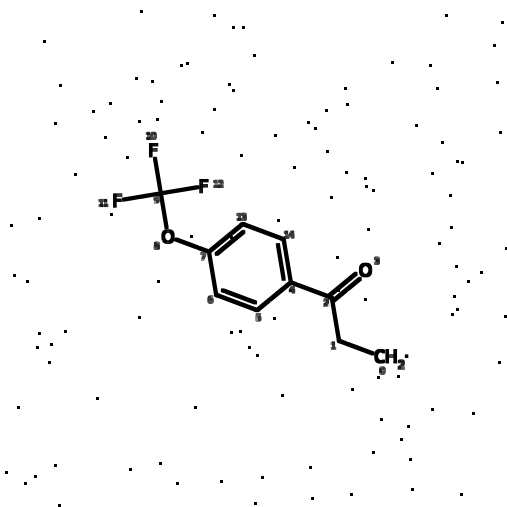 [CH2]CC(=O)c1ccc(OC(F)(F)F)cc1